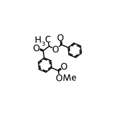 COC(=O)c1cccc(C(=O)C(C)OC(=O)c2ccccc2)c1